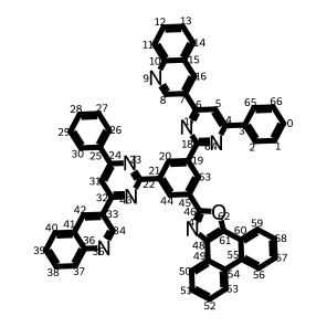 c1ccc(-c2cc(-c3cnc4ccccc4c3)nc(-c3cc(-c4nc(-c5ccccc5)cc(-c5cnc6ccccc6c5)n4)cc(-c4nc5c6ccccc6c6ccccc6c5o4)c3)n2)cc1